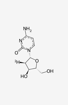 [2H][C@@H]1[C@H](O)[C@@H](CO)O[C@H]1n1ccc(N)nc1=O